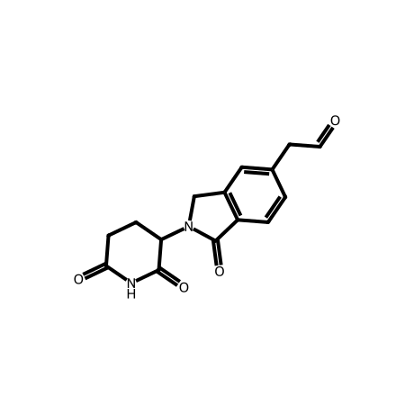 O=CCc1ccc2c(c1)CN(C1CCC(=O)NC1=O)C2=O